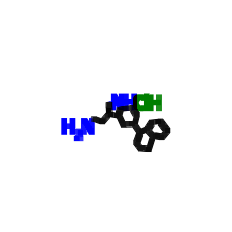 Cl.NCCc1c[nH]c2ccc(-c3cccc4ccccc34)cc12